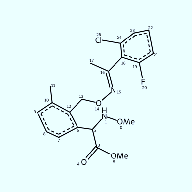 CONC(C(=O)OC)c1cccc(C)c1CO/N=C(\C)c1c(F)cccc1Cl